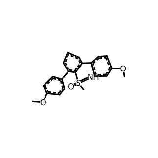 COc1ccc(-c2cccc(-c3ccc(OC)cc3)c2S(C)(=N)=O)cc1